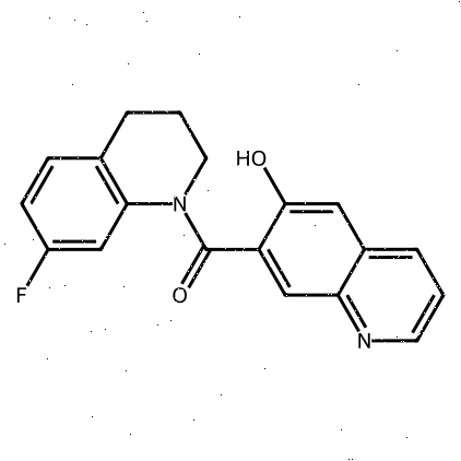 O=C(c1cc2ncccc2cc1O)N1CCCc2ccc(F)cc21